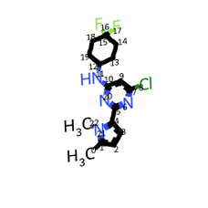 Cc1ccc(-c2nc(Cl)cc(NC3CCC(F)(F)CC3)n2)n1C